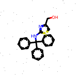 OCc1csc(NC(c2ccccc2)(c2ccccc2)c2ccccc2)n1